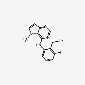 CC(C)Cc1c(F)cccc1Nc1ncnc2ccn(C)c12